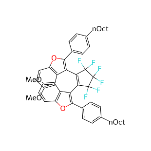 CCCCCCCCc1ccc(-c2oc3ccc(OC)cc3c2C2=C(c3c(-c4ccc(CCCCCCCC)cc4)oc4ccc(OC)cc34)C(F)(F)C(F)(F)C2(F)F)cc1